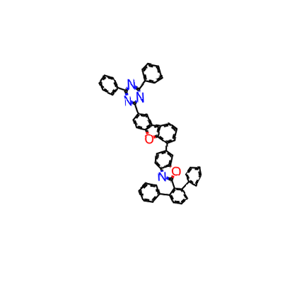 c1ccc(-c2nc(-c3ccccc3)nc(-c3ccc4oc5c(-c6ccc7nc(-c8c(-c9ccccc9)cccc8-c8ccccc8)oc7c6)cccc5c4c3)n2)cc1